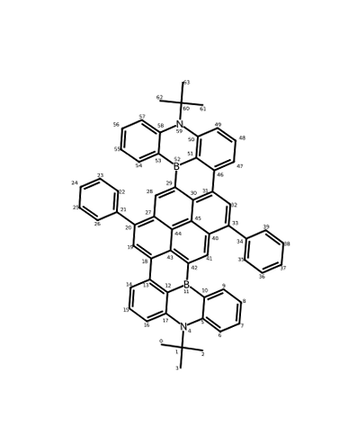 CC(C)(C)N1c2ccccc2B2c3c(cccc31)-c1cc(-c3ccccc3)c3cc4c5c(cc(-c6ccccc6)c6cc2c1c3c65)-c1cccc2c1B4c1ccccc1N2C(C)(C)C